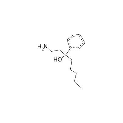 CCCCCC(O)(CCN)c1ccccc1